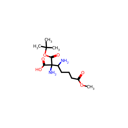 COC(=O)CCCC(N)C(N)(C(=O)O)C(=O)OC(C)(C)C